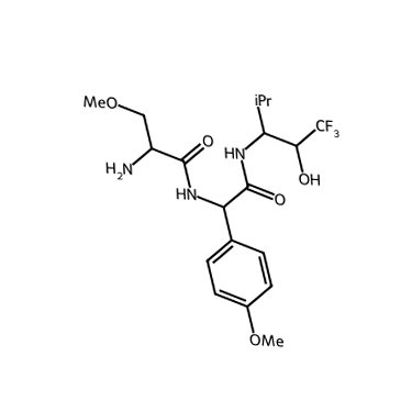 COCC(N)C(=O)NC(C(=O)NC(C(C)C)C(O)C(F)(F)F)c1ccc(OC)cc1